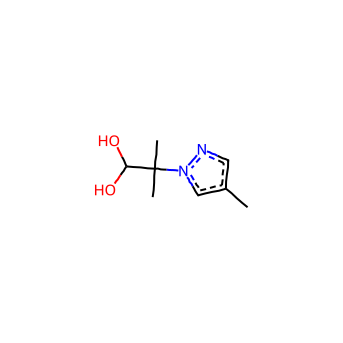 Cc1cnn(C(C)(C)C(O)O)c1